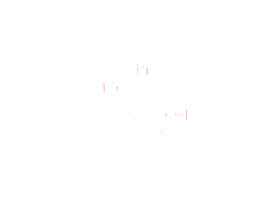 OC1=C(Br)CC(O)(Br)C=C1